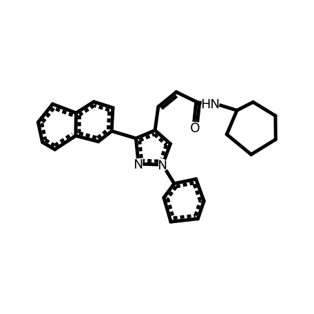 O=C(/C=C\c1cn(-c2ccccc2)nc1-c1ccc2ccccc2c1)NC1CCCCC1